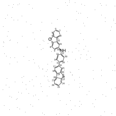 c1ccc2c(c1)oc1ccc(Nc3ccc(-c4ccc5c(c4)sc4ccccc45)cc3)cc12